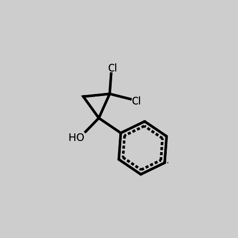 OC1(c2cc[c]cc2)CC1(Cl)Cl